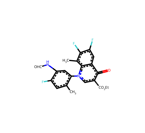 CCOC(=O)c1cn(-c2cc(NC=O)c(F)cc2C)c2c(C)c(F)c(F)cc2c1=O